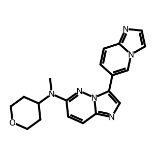 CN(c1ccc2ncc(-c3ccc4nccn4c3)n2n1)C1CCOCC1